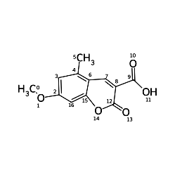 COc1cc(C)c2cc(C(=O)O)c(=O)oc2c1